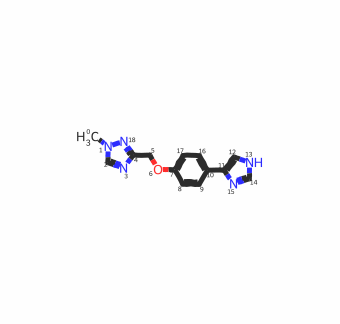 Cn1cnc(COc2ccc(-c3c[nH]cn3)cc2)n1